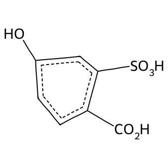 O=C(O)c1ccc(O)cc1S(=O)(=O)O